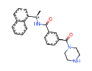 C[C@@H](NC(=O)c1cccc(C(=O)N2CCNCC2)c1)c1cccc2ccccc12